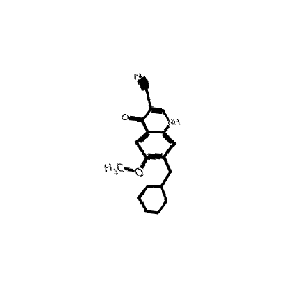 COc1cc2c(=O)c(C#N)c[nH]c2cc1CC1CCCCC1